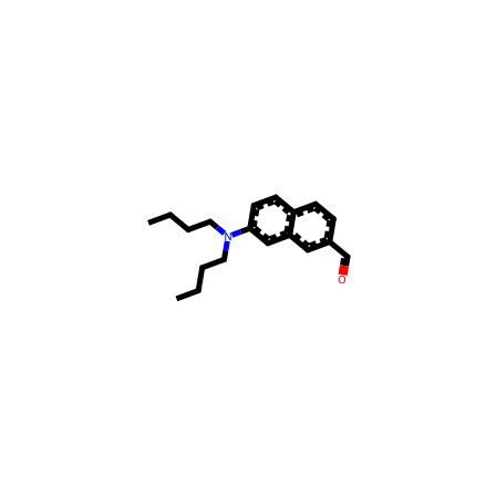 CCCCN(CCCC)c1ccc2ccc(C=O)cc2c1